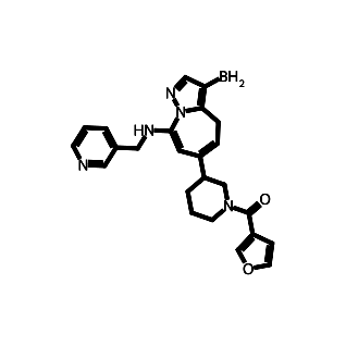 Bc1cnn2c1CC=C(C1CCCN(C(=O)c3ccoc3)C1)C=C2NCc1cccnc1